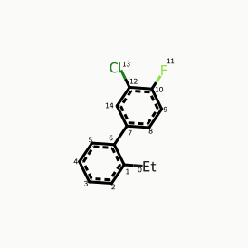 CCc1ccccc1-c1ccc(F)c(Cl)c1